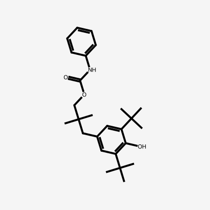 CC(C)(COC(=O)Nc1ccccc1)Cc1cc(C(C)(C)C)c(O)c(C(C)(C)C)c1